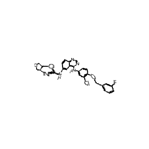 Fc1cccc(COc2ccc(Nc3ncnc4ccc(NC5=NC6COCC6O5)cc34)cc2Cl)c1